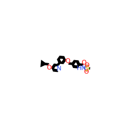 CS(=O)(=O)NC(=O)c1ccc(COc2cccc(-c3cc(OCC4CC4)ccn3)c2)cc1